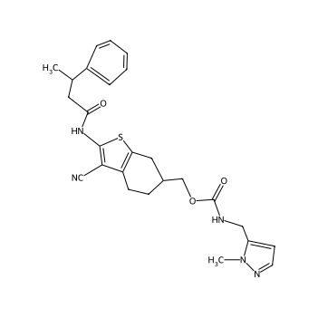 CC(CC(=O)Nc1sc2c(c1C#N)CCC(COC(=O)NCc1ccnn1C)C2)c1ccccc1